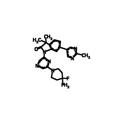 Cc1ncc(-c2ccc3c(c2)N(c2cncc(N4CCC(F)(P)CC4)n2)C(=O)C3(C)C)cn1